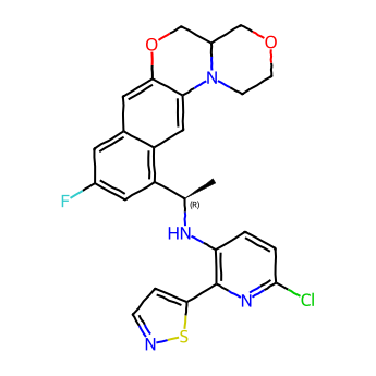 C[C@@H](Nc1ccc(Cl)nc1-c1ccns1)c1cc(F)cc2cc3c(cc12)N1CCOCC1CO3